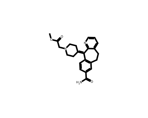 COC(=O)CN1CCC(=C2c3ccc(C(N)=O)cc3CCc3cccnc32)CC1